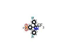 CS(=O)(=O)c1ccc(-c2c(-c3ccc(F)cc3)c(C(F)(F)F)nn2-c2ccc(F)cc2)cc1